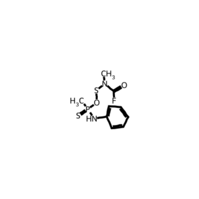 CN(SOP(C)(=S)Nc1ccccc1)C(=O)F